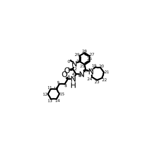 CN1C(=O)C(NC(=O)CCC2CCCCC2)N=C(N2CCCCCC2)c2ccccc21